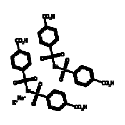 O=C(O)c1ccc(S(=O)(=O)[N-]S(=O)(=O)c2ccc(C(=O)O)cc2)cc1.O=C(O)c1ccc(S(=O)(=O)[N-]S(=O)(=O)c2ccc(C(=O)O)cc2)cc1.[K+].[Na+]